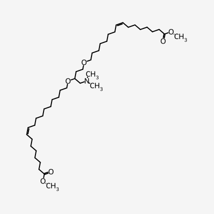 COC(=O)CCCCCC/C=C\CCCCCCCCCOC(CCOCCCCCCC/C=C\CCCCCCC(=O)OC)CN(C)C